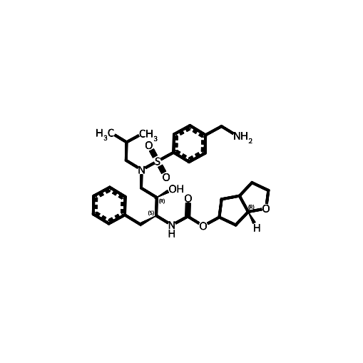 CC(C)CN(C[C@@H](O)[C@H](Cc1ccccc1)NC(=O)OC1CC2CCO[C@@H]2C1)S(=O)(=O)c1ccc(CN)cc1